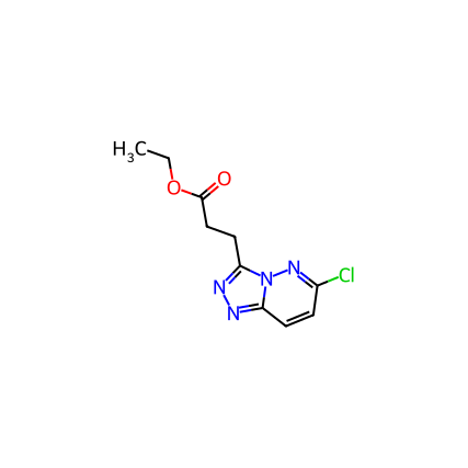 CCOC(=O)CCc1nnc2ccc(Cl)nn12